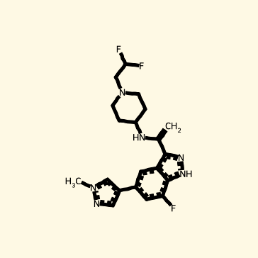 C=C(NC1CCN(CC(F)F)CC1)c1n[nH]c2c(F)cc(-c3cnn(C)c3)cc12